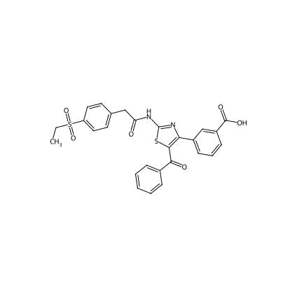 CCS(=O)(=O)c1ccc(CC(=O)Nc2nc(-c3cccc(C(=O)O)c3)c(C(=O)c3ccccc3)s2)cc1